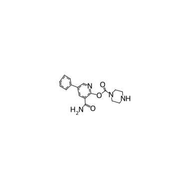 NC(=O)c1cc(-c2ccccc2)cnc1OC(=O)N1CCNCC1